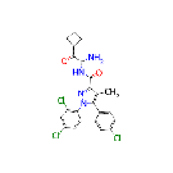 Cc1c(C(=O)NC(N)C(=O)C2CCC2)nn(-c2ccc(Cl)cc2Cl)c1-c1ccc(Cl)cc1